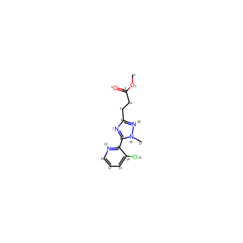 COC(=O)CCc1nc(-c2ncccc2Cl)n(C)n1